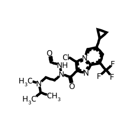 CC(C)N(C)CCN(NC=O)C(=O)c1nc2c(C(F)(F)F)cc(C3CC3)cn2c1Cl